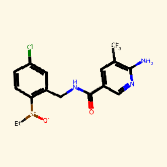 CC[S+]([O-])c1ccc(Cl)cc1CNC(=O)c1cnc(N)c(C(F)(F)F)c1